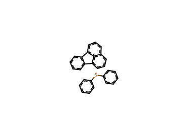 c1ccc(Sc2ccccc2)cc1.c1ccc2c(c1)-c1cccc3cccc-2c13